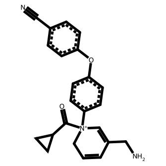 N#Cc1ccc(Oc2ccc([N+]3(C(=O)C4CC4)C=C(CN)C=CC3)cc2)cc1